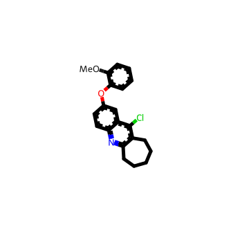 COc1ccccc1Oc1ccc2nc3c(c(Cl)c2c1)CCCCC3